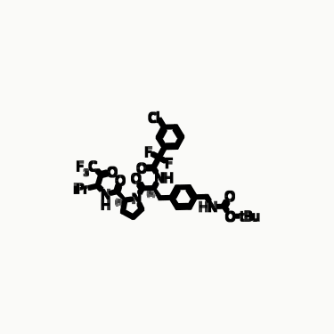 CC(C)C(NC(=O)[C@@H]1CCCN1C(=O)[C@H](Cc1ccc(CNC(=O)OC(C)(C)C)cc1)NC(=O)C(F)(F)c1cccc(Cl)c1)C(=O)C(F)(F)F